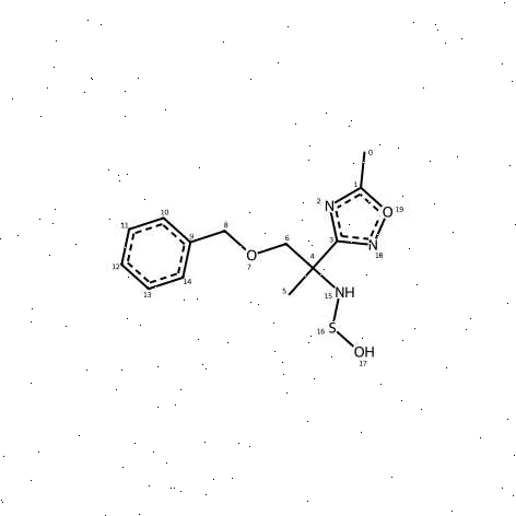 Cc1nc(C(C)(COCc2ccccc2)NSO)no1